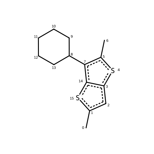 Cc1cc2sc(C)c(C3CCCCC3)c2s1